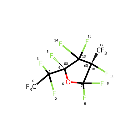 FC(F)(F)C(F)(F)[C@]1(F)OC(F)(F)[C@](F)(C(F)(F)F)C1(F)F